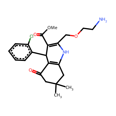 COC(=O)C1=C(COCCN)NC2=C(C(=O)CC(C)(C)C2)C1c1ccccc1Cl